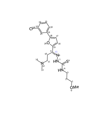 COCCCNC(=S)N/N=C(\CCN(C)C)c1ccc(-c2cccc(Cl)c2)o1